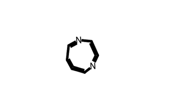 C1=C/C=N\C=C=NC=1